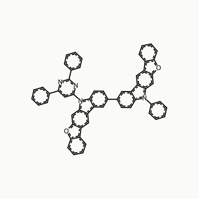 c1ccc(-c2cc(-n3c4ccc(-c5ccc6c(c5)c5cc7c(cc5n6-c5ccccc5)oc5ccccc57)cc4c4cc5c(cc43)oc3ccccc35)nc(-c3ccccc3)n2)cc1